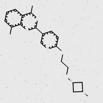 O=C(O)[C@H]1C[C@@H](OCCOc2ccc(-c3nc(O)c4cccc(Cl)c4n3)cn2)C1